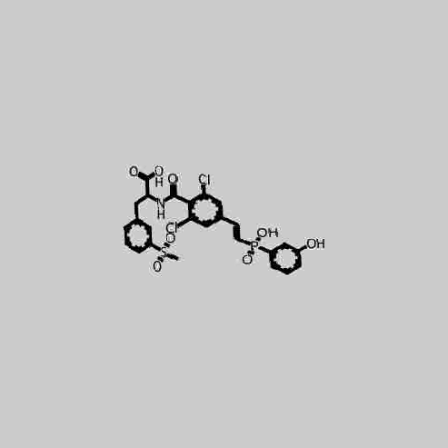 CS(=O)(=O)c1cccc(CC(NC(=O)c2c(Cl)cc(C=CP(=O)(O)c3cccc(O)c3)cc2Cl)C(=O)O)c1